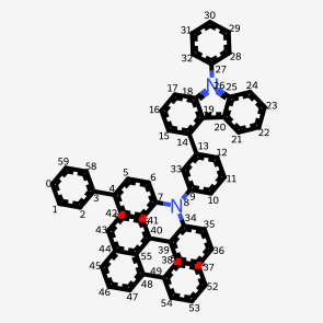 c1ccc(-c2ccc(N(c3cccc(-c4cccc5c4c4ccccc4n5-c4ccccc4)c3)c3ccccc3-c3cccc4cccc(-c5ccccc5)c34)cc2)cc1